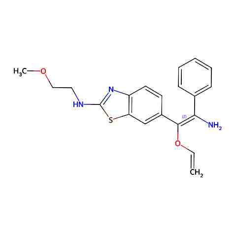 C=CO/C(=C(\N)c1ccccc1)c1ccc2nc(NCCOC)sc2c1